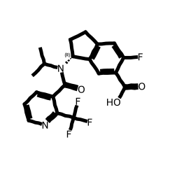 CC(C)N(C(=O)c1cccnc1C(F)(F)F)[C@@H]1CCc2cc(F)c(C(=O)O)cc21